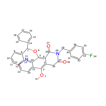 COc1c2c(c(OC(c3ccccc3)c3ccccc3)c3ncccc13)C(=O)N(Cc1ccc(F)cc1)C(=O)C2